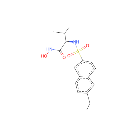 CCc1ccc2cc(S(=O)(=O)N[C@@H](C(=O)NO)C(C)C)ccc2c1